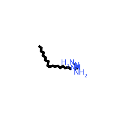 CCCCCCCC/C=C\CCCCCCCCn1c(N)nnc1N